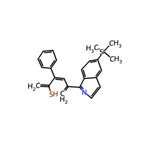 C=C(S)/C(=C\C(=C)c1nccc2cc([Si](C)(C)C)ccc12)c1ccccc1